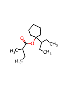 CCC(C)C(=O)OC1(C(CC)CC)CCCCC1